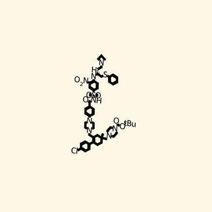 CC1(CN2CCN(C(=O)OC(C)(C)C)CC2)CCC(c2ccc(Cl)cc2)=C(CN2CCN(c3ccc(C(=O)NS(=O)(=O)c4ccc(N[C@H](CCN5CCC5)CSc5ccccc5)c([N+](=O)[O-])c4)cc3)CC2)C1